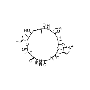 C=N/C=C\C(=C/C)C[C@@H]1C(=O)N(C)CC(=O)N[C@@H](C(C)CC)C(=O)N[C@H](C)C(=O)O[C@H](/C(C)=C/C)[C@@H](C)[C@@H](O)C/C=C(\C)C(=O)N[C@H](CC(C)C)C(=O)N[C@@H](C)C(=O)N1C